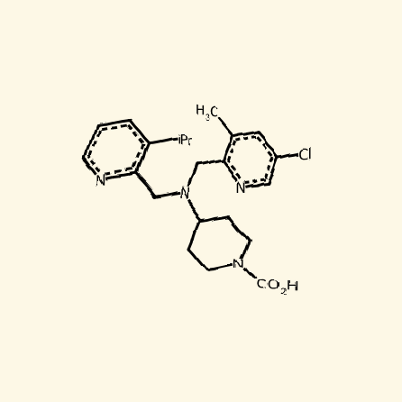 Cc1cc(Cl)cnc1CN(Cc1ncccc1C(C)C)C1CCN(C(=O)O)CC1